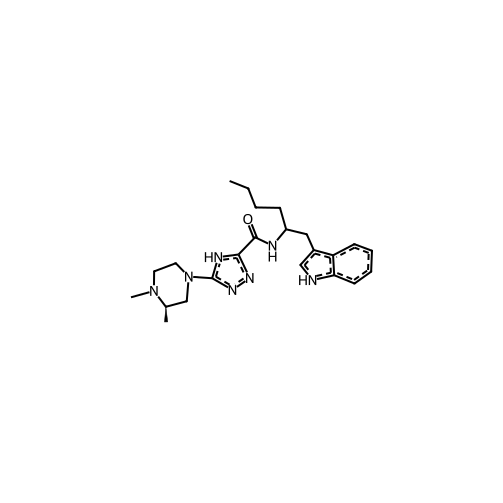 CCCCC(Cc1c[nH]c2ccccc12)NC(=O)c1nnc(N2CCN(C)[C@H](C)C2)[nH]1